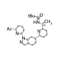 CC(=O)c1cccc(-n2ncc3ccc(-c4cccc([C@H](C)N[S@+]([O-])C(C)(C)C)n4)cc32)n1